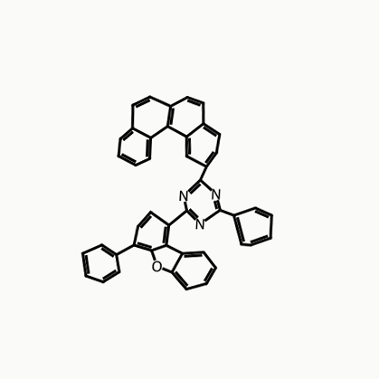 c1ccc(-c2nc(-c3ccc4ccc5ccc6ccccc6c5c4c3)nc(-c3ccc(-c4ccccc4)c4oc5ccccc5c34)n2)cc1